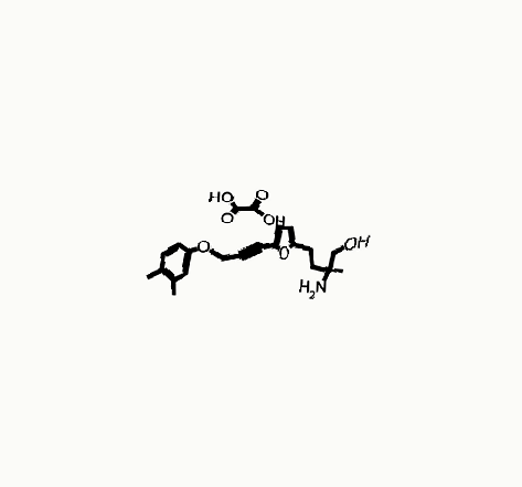 Cc1ccc(OCC#Cc2ccc(CC[C@@](C)(N)CO)o2)cc1C.O=C(O)C(=O)O